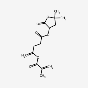 C=C(CCC(=O)OC1CC(C)(C)OC1=O)OC(=O)C(=C)C